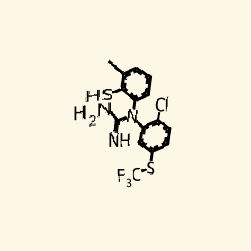 Cc1cccc(N(C(=N)N)c2cc(SC(F)(F)F)ccc2Cl)c1S